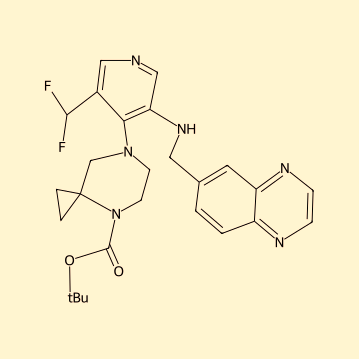 CC(C)(C)OC(=O)N1CCN(c2c(NCc3ccc4nccnc4c3)cncc2C(F)F)CC12CC2